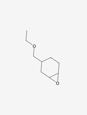 CCOCC1CCC2OC2C1